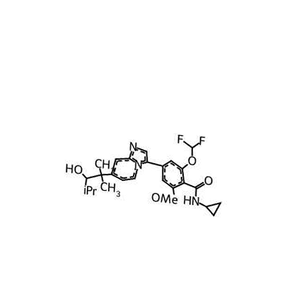 COc1cc(-c2cnc3cc(C(C)(C)C(O)C(C)C)ccn23)cc(OC(F)F)c1C(=O)NC1CC1